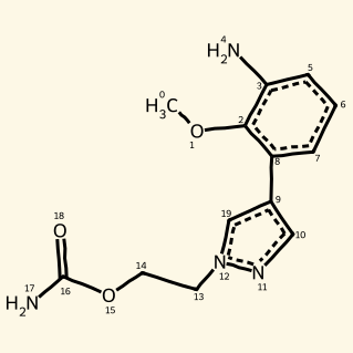 COc1c(N)cccc1-c1cnn(CCOC(N)=O)c1